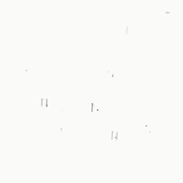 CC1(F)C=CC=CN(C(=O)Cn2cnc3c(c(-c4ccc(F)c(Cl)c4)cn3C3CC3)c2=O)C1